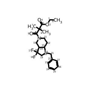 CCOC(=O)C(C)(C)C(=O)N1CCC2C(C1)C(F)(F)CN2Cc1ccccc1